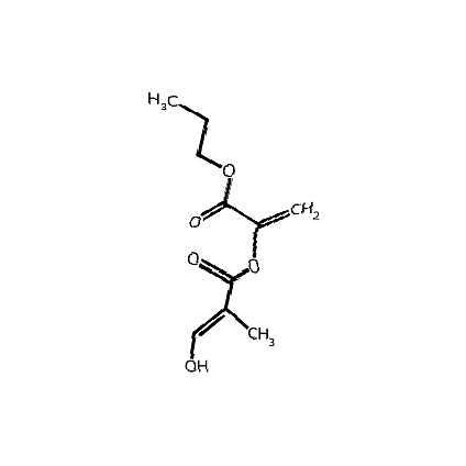 C=C(OC(=O)/C(C)=C/O)C(=O)OCCC